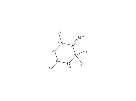 CC1CN(C)C(=O)C(C)(C)O1